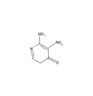 O=C1CC=NC([N+](=O)[O-])=C1[N+](=O)[O-]